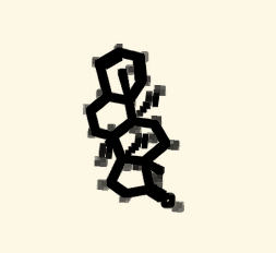 C[C@]12C=CC=CC1CC[C@@H]1[C@@H]2CC[C@]2(C)C(=O)CC[C@@H]12